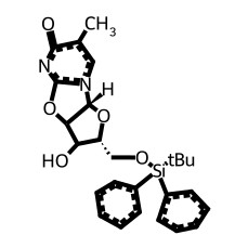 Cc1cn2c(nc1=O)OC1C(O)[C@@H](CO[Si](c3ccccc3)(c3ccccc3)C(C)(C)C)O[C@H]12